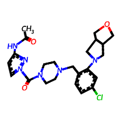 CC(=O)Nc1ccn(C(=O)N2CCN(Cc3ccc(Cl)cc3N3CC4COCC4C3)CC2)n1